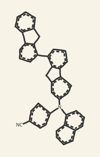 N#Cc1ccc(N(c2ccc3c(c2)Cc2c-3cccc2-c2cccc3c2Cc2ccccc2-3)c2cccc3ccccc23)cc1